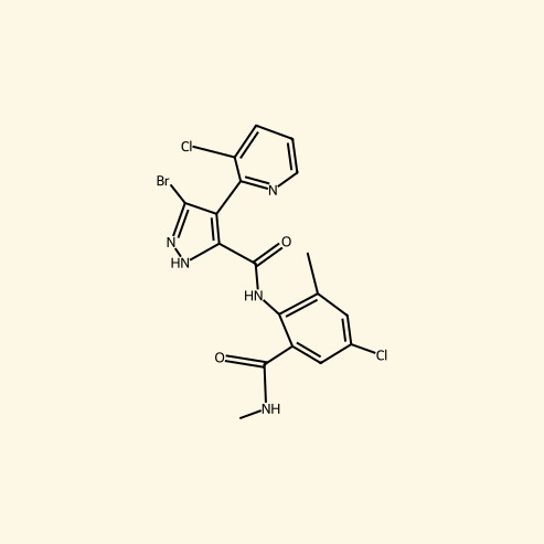 CNC(=O)c1cc(Cl)cc(C)c1NC(=O)c1[nH]nc(Br)c1-c1ncccc1Cl